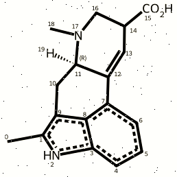 Cc1[nH]c2cccc3c2c1C[C@@H]1C3=CC(C(=O)O)CN1C